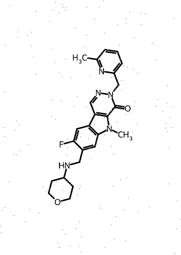 Cc1cccc(Cn2ncc3c4cc(F)c(CNC5CCOCC5)cc4n(C)c3c2=O)n1